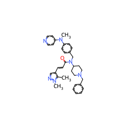 Cc1c(/C=C/C(=O)N(Cc2ccc(N(C)c3ccncc3)cc2)C2CCN(Cc3ccccc3)CC2)cnn1C